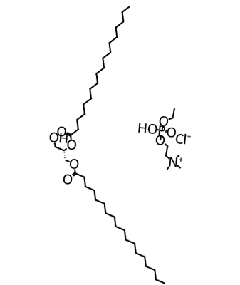 CCCCCCCCCCCCCCCCCC(=O)OC[C@H](CO)OC(=O)CCCCCCCCCCCCCCCCC.CCOP(=O)(O)OCC[N+](C)(C)C.[Cl-]